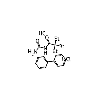 CCC(Br)(CC)C(=O)NC(N)=O.Cl.Cl.c1ccc(-c2ccccc2)cc1